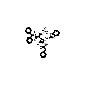 CC(OS(=O)(=O)F)=C(C(=O)OC(c1ccccc1)c1ccccc1)N1C(=O)[C@@H](NC(=O)Cc2ccccc2)[C@H]1SSc1nc2ccccc2s1